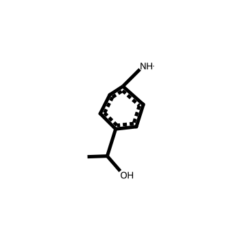 CC(O)c1ccc([NH])cc1